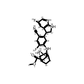 COC(=O)[C@@H]1C2CCC(CC2)[C@H]1Nc1cc(C2CNc3ncc(F)cc32)c(C#N)cc1F